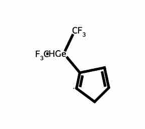 F[C](F)(F)[GeH]([C]1=[C]CC=C1)[C](F)(F)F